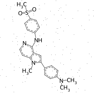 CN(C)c1ccc(-c2cc3c(Nc4ccc(S(C)(=O)=O)cc4)nccc3n2C)cc1